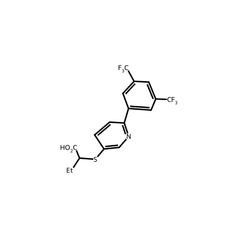 CCC(Sc1ccc(-c2cc(C(F)(F)F)cc(C(F)(F)F)c2)nc1)C(=O)O